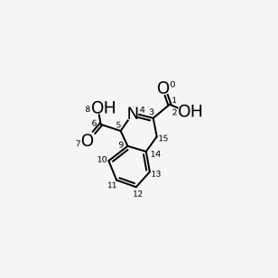 O=C(O)C1=NC(C(=O)O)c2ccccc2C1